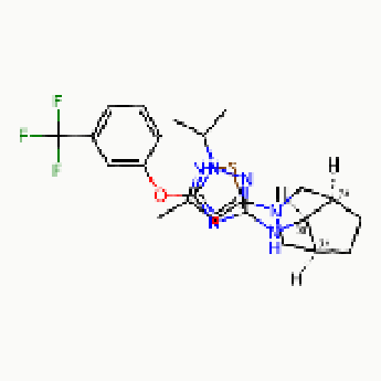 Cc1cc(N2C[C@H]3CC[C@@H](C2)[C@H]3Nc2nc(Oc3cccc(C(F)(F)F)c3)n(C(C)C)n2)sn1